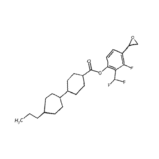 CCCC1CCC(C2CCC(C(=O)Oc3ccc(C4CO4)c(F)c3C(F)F)CC2)CC1